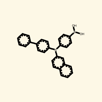 OB(O)c1ccc(N(c2ccc(-c3ccccc3)cc2)c2ccc3ccccc3c2)cc1